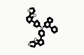 c1ccc(-c2cc(N(c3ccc(-c4cccc5c4oc4cnccc45)cc3)c3ccc(-c4cccc5c4oc4cccnc45)cc3)cc3ccccc23)cc1